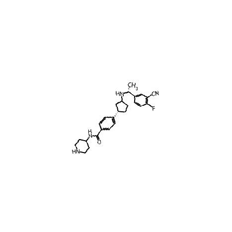 C[C@@H](NC1CC[C@H](c2ccc(C(=O)NC3CCNCC3)cc2)C1)c1ccc(F)c(C#N)c1